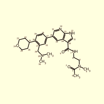 CC(=O)N(C)CCNC(=O)c1c[nH]c2ncc(-c3ccc(C4CCOCC4)c(CN(C)C)c3)cc12